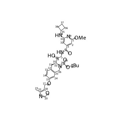 COc1cc(C(=O)NC[C@@H](O)[C@@H]2Cc3ccc(OCc4ocnc4C)cc3CN2C(=O)OC(C)(C)C)cc(NC2CCC2)n1